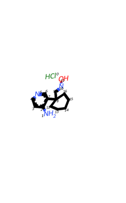 Cl.Nc1ccncc1C1(C=NO)CCCCC1